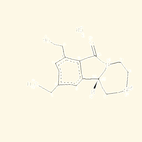 CCc1cc(CO)c2c(c1)[C@H]1CNCCN1C2=O.Cl